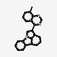 Cc1cccc2c(-c3cn4c5ccccc5c5cccc3c54)ncnc12